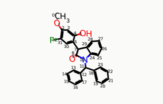 COc1cc(O)c(C2C(=O)N(C(c3ccccc3)c3ccccc3)c3ccccc32)cc1F